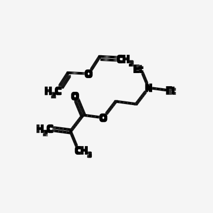 C=C(C)C(=O)OCCN(CC)CC.C=COC=C